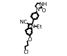 CCn1c(-c2ccc(N3CCNC3=O)cc2)c(C#N)c2ccc(OCCCCl)cc21